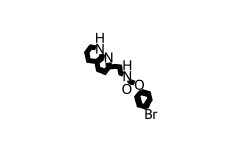 O=C(NCCc1ccc2c(n1)NCCC2)Oc1ccc(Br)cc1